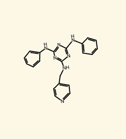 c1ccc(Nc2nc(NCc3ccncc3)nc(Nc3ccccc3)n2)cc1